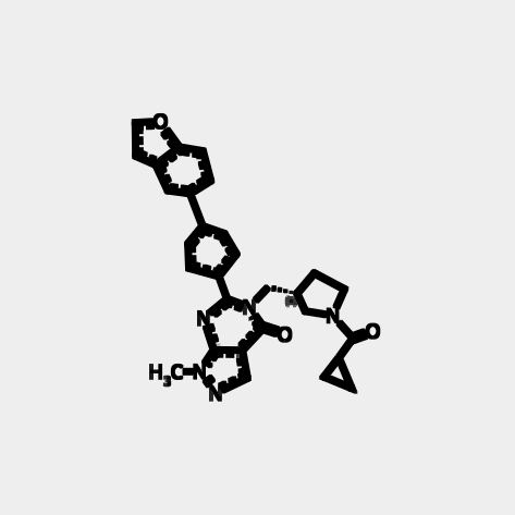 Cn1ncc2c(=O)n(C[C@@H]3CCN(C(=O)C4CC4)C3)c(-c3ccc(-c4ccc5occc5c4)cc3)nc21